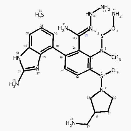 CN(SON)c1c([S+]([O-])N2CCC(CN)C2)ccc(-c2cccc3[nH]c(N)nc23)c1/C(N)=N/NN.S